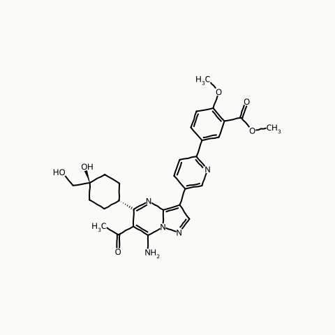 COC(=O)c1cc(-c2ccc(-c3cnn4c(N)c(C(C)=O)c([C@H]5CC[C@@](O)(CO)CC5)nc34)cn2)ccc1OC